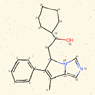 CC1=C(c2ccccc2)C(CC(O)C2CCCCC2)n2cncc21